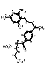 C=C(CCCc1c(N)nc(N)nc1O)c1ccc(C(=O)N[C@H](CCC(=O)O)C(=O)O)cc1